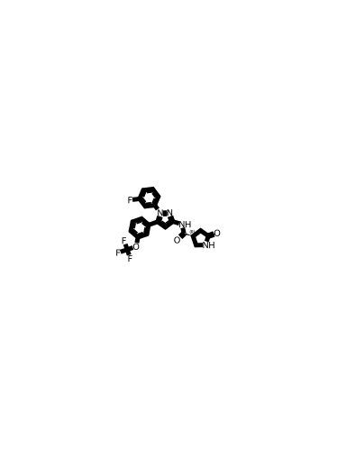 O=C1C[C@@H](C(=O)Nc2cc(-c3cccc(OC(F)(F)F)c3)n(-c3cccc(F)c3)n2)CN1